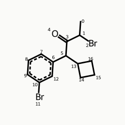 CC(Br)C(=O)C(c1cccc(Br)c1)C1CCC1